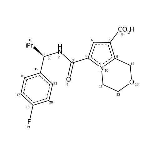 CC(C)[C@@H](NC(=O)c1cc(C(=O)O)c2n1CCOC2)c1ccc(F)cc1